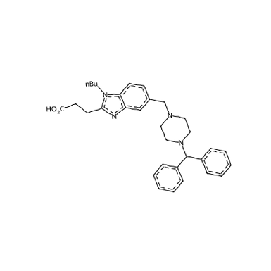 CCCCn1c(CCC(=O)O)nc2cc(CN3CCN(C(c4ccccc4)c4ccccc4)CC3)ccc21